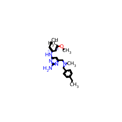 C#C/C=C(\C=C(/C)OC)Nc1cc(CN(C)Cc2ccc(CC)cc2)nc(N)n1